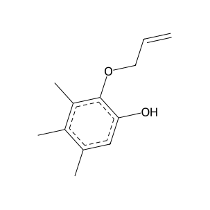 C=CCOc1c(O)cc(C)c(C)c1C